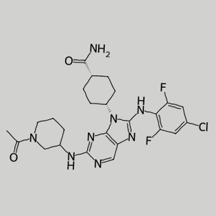 CC(=O)N1CCCC(Nc2ncc3nc(Nc4c(F)cc(Cl)cc4F)n([C@H]4CC[C@@H](C(N)=O)CC4)c3n2)C1